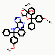 CC[C@H]1O[C@@H](n2cnc3c(NC(c4ccccc4)(c4ccccc4)c4ccc(OC)cc4)ncnc32)C(OC(c2ccccc2)(c2ccccc2)c2ccc(OC)cc2)C1O